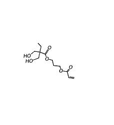 C=CC(=O)OCCCOC(=O)C(CC)(CO)CO